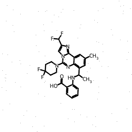 Cc1cc(C(C)Nc2ccccc2C(=O)O)c2nc(N3CCC(F)(F)CC3)n3cc(C(F)F)nc3c2c1